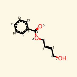 O=C(OC/C=C/CO)c1ccccc1